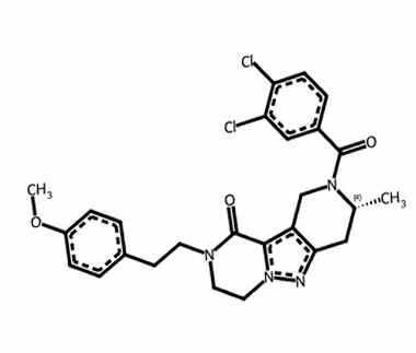 COc1ccc(CCN2CCn3nc4c(c3C2=O)CN(C(=O)c2ccc(Cl)c(Cl)c2)[C@H](C)C4)cc1